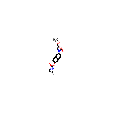 CCNC(=O)Oc1ccc2cc(N3CC(COC)OC3=O)ccc2c1